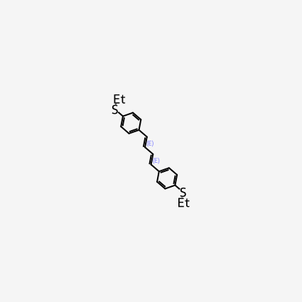 CCSc1ccc(/C=C/C=C/c2ccc(SCC)cc2)cc1